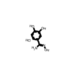 Cl.NC(=NO)c1ccc(O)c(O)c1